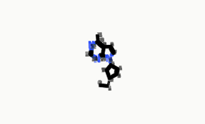 CC[C@H]1C=C[C@H](n2ccc3c(C)ncnc32)C1